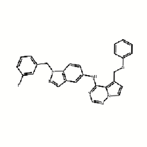 Fc1cccc(Cn2ncc3cc(Nc4ncnn5ccc(CSc6ccccc6)c45)ccc32)c1